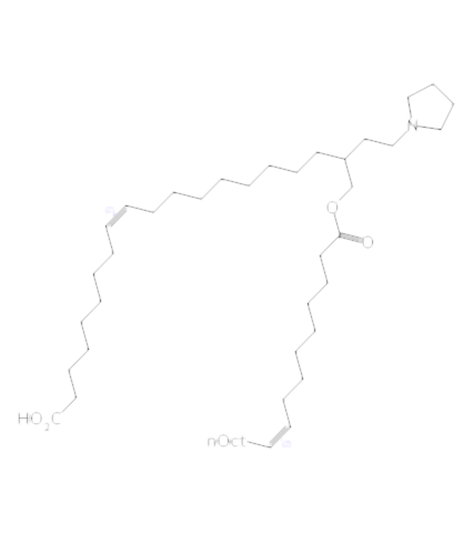 CCCCCCCC/C=C\CCCCCCCC(=O)OCC(CCCCCCCC/C=C\CCCCCCCC(=O)O)CCN1CCCC1